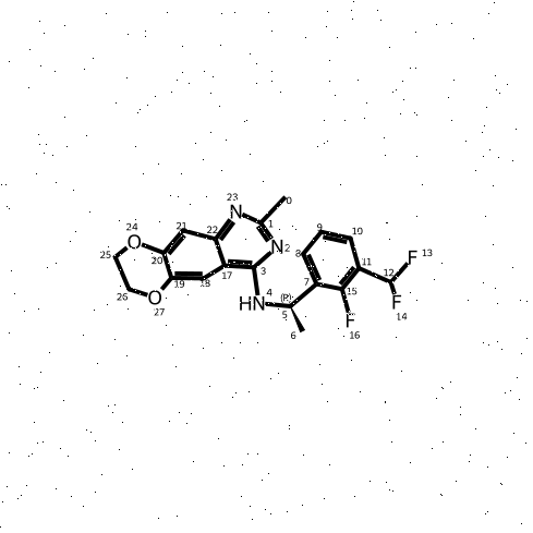 Cc1nc(N[C@H](C)c2cccc(C(F)F)c2F)c2cc3c(cc2n1)OCCO3